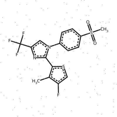 Cc1c(F)csc1-c1nc(C(F)(F)F)cn1-c1ccc(S(C)(=O)=O)cc1